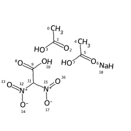 CC(=O)O.CC(=O)O.O=C(O)C([N+](=O)[O-])[N+](=O)[O-].[NaH]